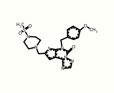 COc1ccc(Cn2c(=O)n3ncnc3c3cc(CN4CCN(S(C)(=O)=O)CC4)sc32)cc1